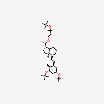 C=C1/C(=C\C=C2/CCC[C@]3(C)[C@@H]([C@H](C)OCCC(C)(C)O[Si](C)(C)C)CC[C@@H]23)C[C@@H](O[Si](C)(C)C)C[C@@H]1O[Si](C)(C)C